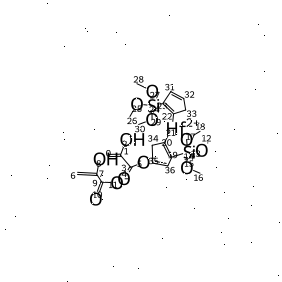 C=C(O)C(=O)[O-].C=C(O)C(=O)[O-].CO[Si](OC)(OC)C1=[C]([Hf+2][C]2=C([Si](OC)(OC)OC)C=CC2)CC=C1